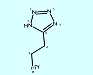 CCCC[CH]c1nnn[nH]1